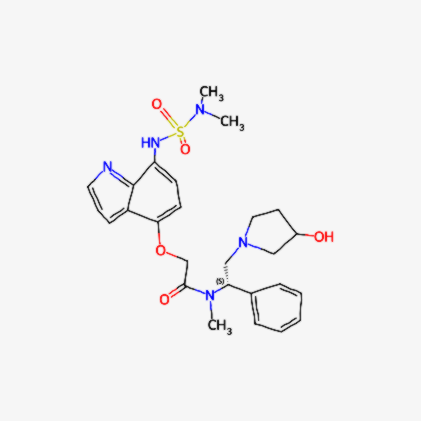 CN(C(=O)COc1ccc(NS(=O)(=O)N(C)C)c2ncccc12)[C@H](CN1CCC(O)C1)c1ccccc1